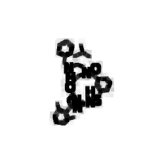 Cc1cccc(C)c1-c1cc2nc(n1)NSc1cccc(c1)C(=O)N1C[C@H](CN(Cc3ccccc3)[C@H](CC(C)C)C1)O2